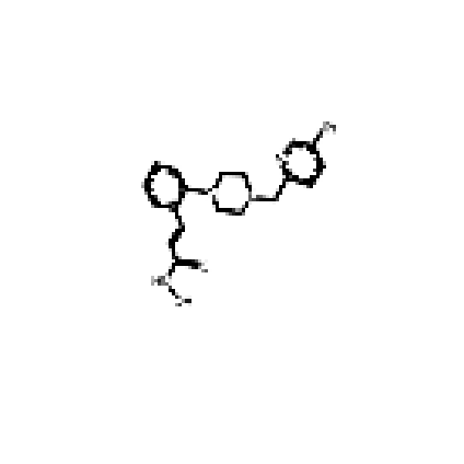 CC(C)c1ccc(CN2CCN(c3ccccc3C=CC(=O)NO)CC2)nc1